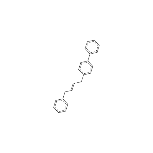 C(=CCc1ccc(-c2ccccc2)cc1)Cc1ccccc1